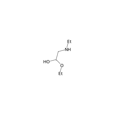 CCNC[C](O)OCC